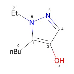 CCCCc1c(O)cnn1CC